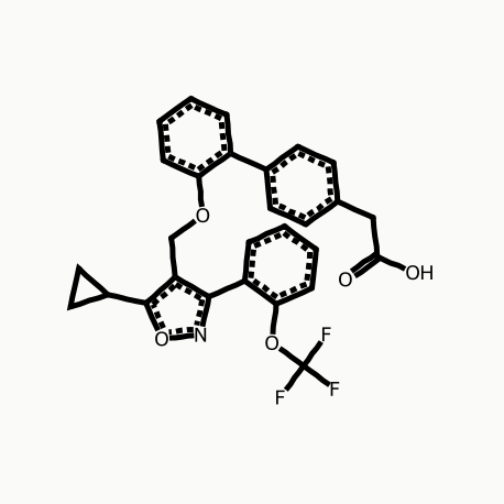 O=C(O)Cc1ccc(-c2ccccc2OCc2c(-c3ccccc3OC(F)(F)F)noc2C2CC2)cc1